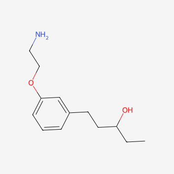 CCC(O)CCc1cccc(OCCN)c1